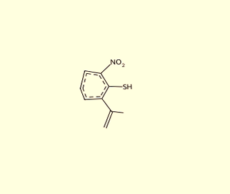 C=C(C)c1cccc([N+](=O)[O-])c1S